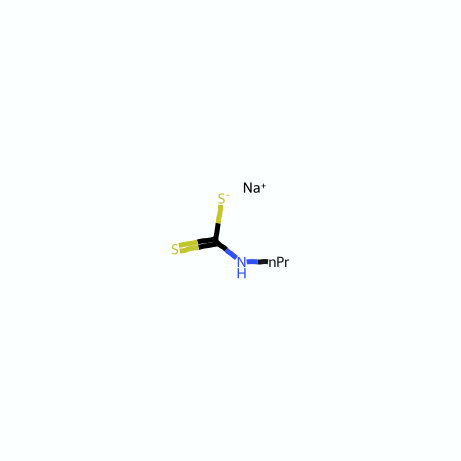 CCCNC(=S)[S-].[Na+]